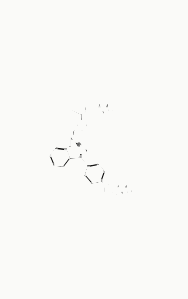 COc1ccc(-c2nn(COC(C)OC)c3ccccc23)cc1